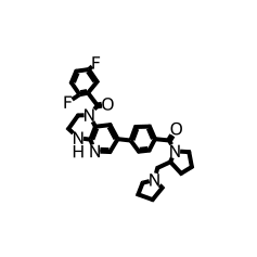 O=C(c1cc(F)ccc1F)N1CCNc2ncc(-c3ccc(C(=O)N4CCCC4CN4CCCC4)cc3)cc21